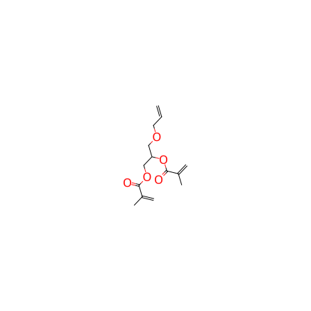 C=CCOCC(COC(=O)C(=C)C)OC(=O)C(=C)C